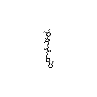 COc1ccc(-c2nc(CSCC(=O)NCCCN3CCN(c4ccccc4F)CC3)c(C)o2)cc1OC